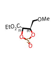 CCOC(=O)[C@H]1OS(=O)O[C@@H]1COC